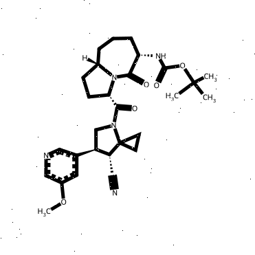 COc1cncc([C@H]2CN(C(=O)[C@@H]3CC[C@@H]4CCC[C@H](NC(=O)OC(C)(C)C)C(=O)N43)C3(CC3)[C@@H]2C#N)c1